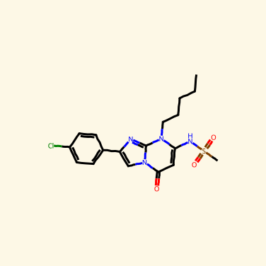 CCCCCn1c(NS(C)(=O)=O)cc(=O)n2cc(-c3ccc(Cl)cc3)nc12